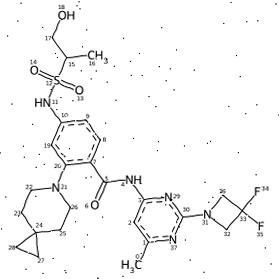 Cc1cc(NC(=O)c2ccc(NS(=O)(=O)C(C)CO)cc2N2CCC3(CC2)CC3)nc(N2CC(F)(F)C2)n1